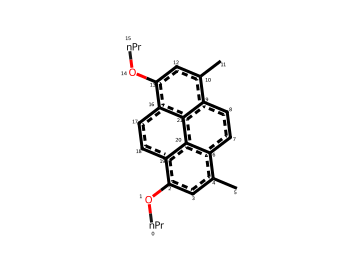 CCCOc1cc(C)c2ccc3c(C)cc(OCCC)c4ccc1c2c34